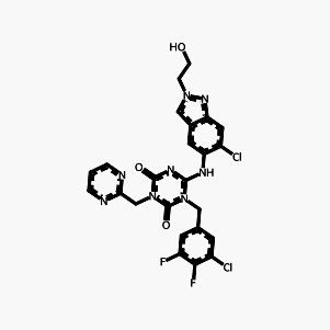 O=c1nc(Nc2cc3cn(CCO)nc3cc2Cl)n(Cc2cc(F)c(F)c(Cl)c2)c(=O)n1Cc1ncccn1